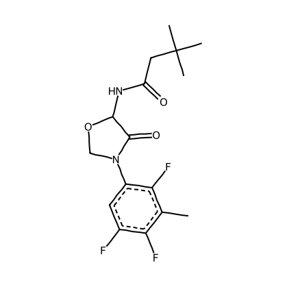 Cc1c(F)c(F)cc(N2COC(NC(=O)CC(C)(C)C)C2=O)c1F